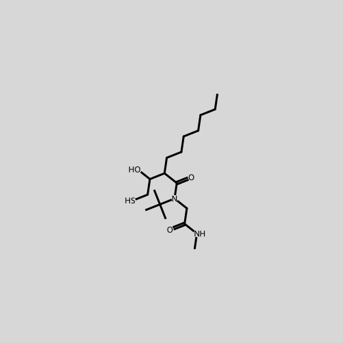 CCCCCCCC(C(=O)N(CC(=O)NC)C(C)(C)C)C(O)CS